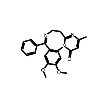 COc1cc2c(cc1OC)-n1c(nc(C)cc1=O)CCN=C2c1ccccc1